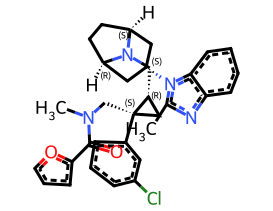 Cc1nc2ccccc2n1[C@@H]1C[C@H]2CC[C@@H](C1)N2C[C@@H]1C[C@@]1(CN(C)C(=O)c1ccco1)c1cccc(Cl)c1